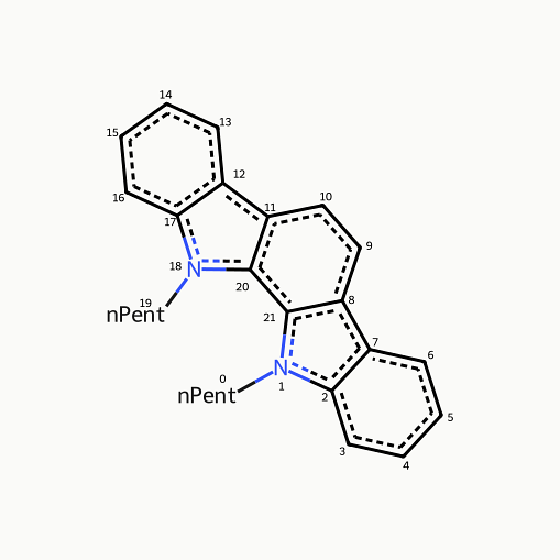 CCCCCn1c2ccccc2c2ccc3c4ccccc4n(CCCCC)c3c21